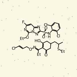 CCOc1nc(F)cc2nc(S(=O)(=O)Nc3c(Cl)cccc3Cl)nn12.CCSC(C)CC1CC(=O)C(/C(CC)=N/OC/C=C/Cl)=C(O)C1